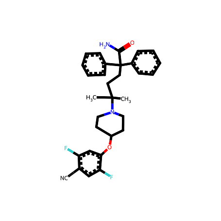 CC(C)(CCC(C(N)=O)(c1ccccc1)c1ccccc1)N1CCC(Oc2cc(F)c(C#N)cc2F)CC1